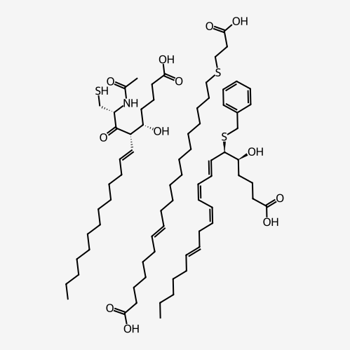 CCCCCC=CC/C=C\C=C/C=C[C@@H](SCc1ccccc1)[C@@H](O)CCCC(=O)O.CCCCCCCCCCCC=C[C@H](C(=O)[C@H](CS)NC(C)=O)[C@@H](O)CCCC(=O)O.O=C(O)CCCCC/C=C/CCCCCCCCCCCSCCC(=O)O